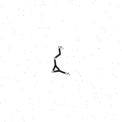 CCSC1OC1C